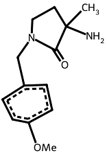 COc1ccc(CN2CCC(C)(N)C2=O)cc1